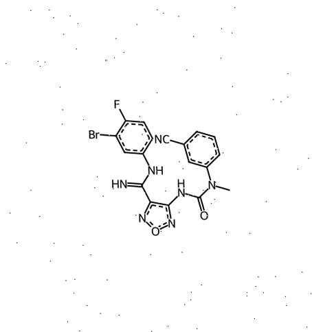 CN(C(=O)Nc1nonc1C(=N)Nc1ccc(F)c(Br)c1)c1cccc(C#N)c1